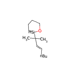 CCCC/C=C/C(C)(C)[SiH]1CCCCO1